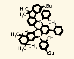 Cc1cc(C(C)(C)C)ccc1N1c2cc3c(cc2B2c4ccc5c(c4N(c4ccccc4C)c4cc(-c6ccccc6)cc1c42)-c1cc(C(C)(C)C)ccc1C5(C)C)C(C)(C)CCC3(C)C